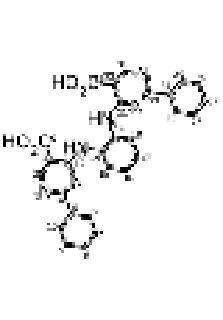 O=C(O)c1cnc(-c2ccccc2)nc1Nc1ccccc1Nc1nc(-c2ccccc2)ncc1C(=O)O